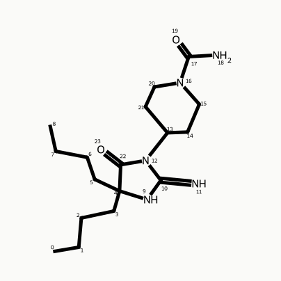 CCCCC1(CCCC)NC(=N)N(C2CCN(C(N)=O)CC2)C1=O